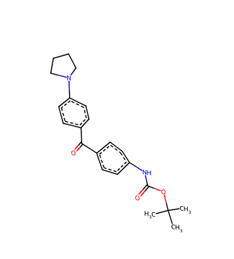 CC(C)(C)OC(=O)Nc1ccc(C(=O)c2ccc(N3CCCC3)cc2)cc1